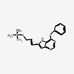 CC(C)(C)[Si](C)(C)OC/C=C/c1cc2ncnc(Oc3ccccc3)c2[nH]1